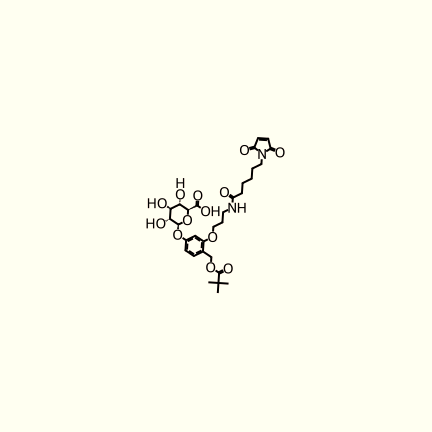 CC(C)(C)C(=O)OCc1ccc(O[C@@H]2O[C@H](C(=O)O)[C@@H](O)[C@H](O)[C@H]2O)cc1OCCCNC(=O)CCCCCN1C(=O)C=CC1=O